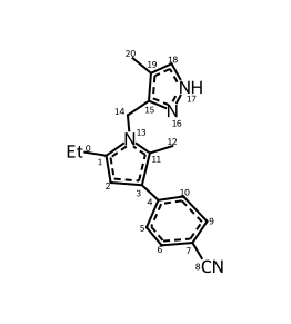 CCc1cc(-c2ccc(C#N)cc2)c(C)n1Cc1n[nH]cc1C